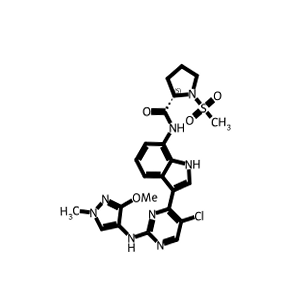 COc1nn(C)cc1Nc1ncc(Cl)c(-c2c[nH]c3c(NC(=O)[C@@H]4CCCN4S(C)(=O)=O)cccc23)n1